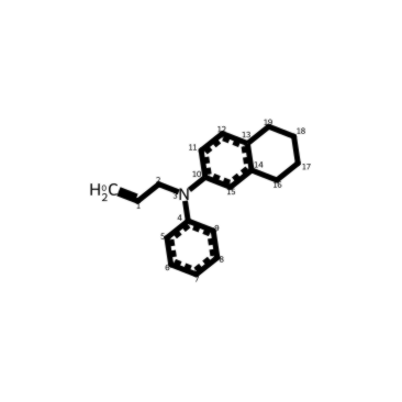 C=CCN(c1ccccc1)c1ccc2c(c1)CCCC2